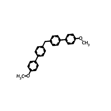 COc1ccc(-c2ccc(Cc3ccc(-c4ccc(OC)cc4)cc3)cc2)cc1